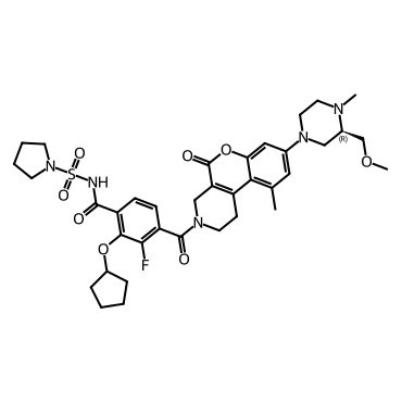 COC[C@H]1CN(c2cc(C)c3c4c(c(=O)oc3c2)CN(C(=O)c2ccc(C(=O)NS(=O)(=O)N3CCCC3)c(OC3CCCC3)c2F)CC4)CCN1C